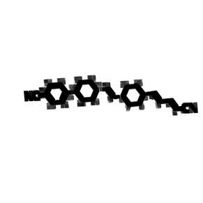 N#CC=CC=C[C@H]1CC[C@H](C=C[C@H]2CC[C@H](c3ccc(C#N)cc3)CC2)CC1